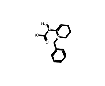 CN(C(=O)O)C1=CCCCN1Cc1ccccc1